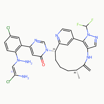 C=C1Nc2cnn(C(F)F)c2-c2ccnc(c2)[C@@H](n2cnc(-c3cc(Cl)ccc3N(N)/C=C(\N)Cl)cc2=O)CCC[C@H]1C